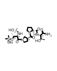 C[C@@H](O)[C@H](NC(=O)[C@H]1CCCN1C(=O)[C@H]1CCN(C(=O)[C@@H](NC(=O)O)[C@@H](C)O[Si](C)(C)C(C)(C)C)C1)C(N)=O